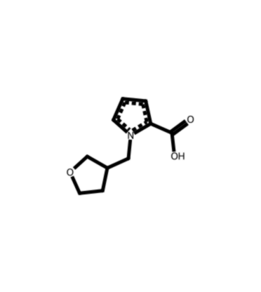 O=C(O)c1cccn1CC1CCOC1